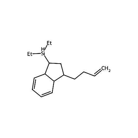 C=CCCC1CC([SiH](CC)CC)C2C=CC=CC12